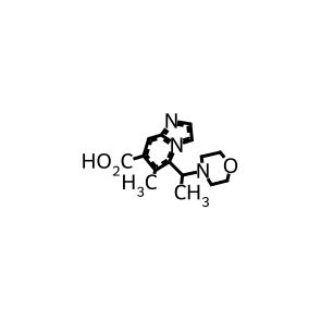 Cc1c(C(=O)O)cc2nccn2c1C(C)N1CCOCC1